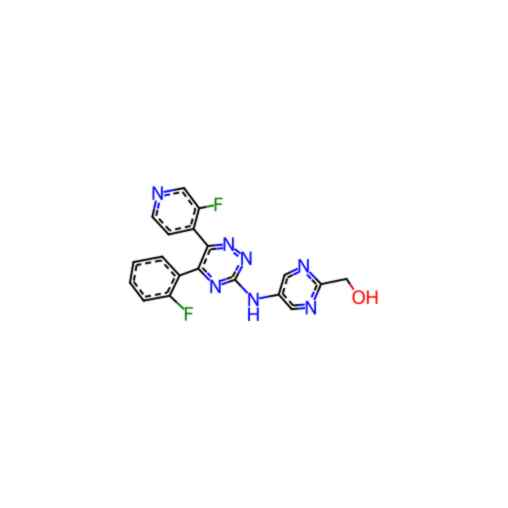 OCc1ncc(Nc2nnc(-c3ccncc3F)c(-c3ccccc3F)n2)cn1